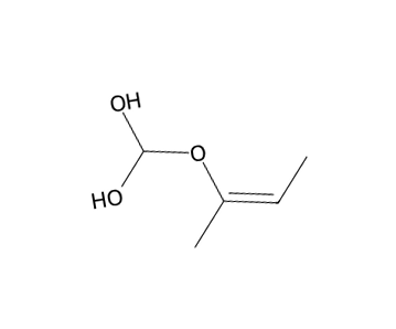 CC=C(C)OC(O)O